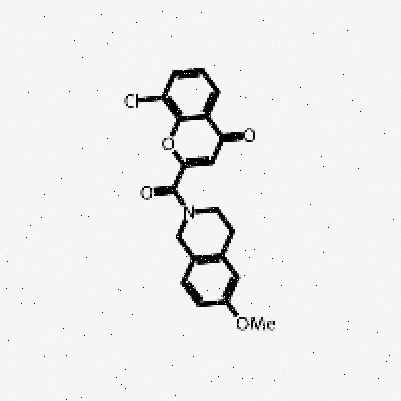 COc1ccc2c(c1)CCN(C(=O)c1cc(=O)c3cccc(Cl)c3o1)C2